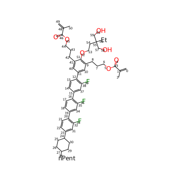 C=C(C)C(=O)OCCCc1cc(-c2ccc(-c3ccc(-c4ccc(C5CCC(CCCCC)CC5)cc4F)cc3F)cc2F)cc(CCCOC(=O)C(=C)C)c1OCCC(CC)(CO)CO